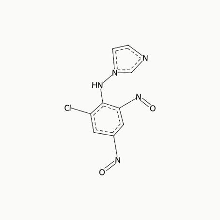 O=Nc1cc(Cl)c(Nn2ccnc2)c(N=O)c1